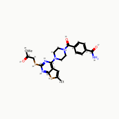 CCc1cc2c(N3CCN(C(=O)c4ccc(C(N)=O)cc4)CC3)nc(SCC(=O)OC)nc2s1